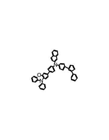 c1ccc(-c2cccc(-c3ccc(N(c4ccc(-c5ccc6c(c5)Oc5ccccc5N6c5ccccc5)cc4)c4ccc5ccccc5c4)cc3)c2)cc1